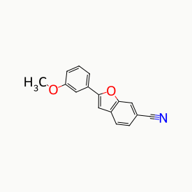 COc1cccc(-c2cc3ccc(C#N)cc3o2)c1